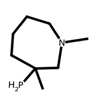 CN1CCCCC(C)(P)C1